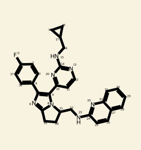 Fc1ccc(-c2nc3n(c2-c2ccnc(NCC4CC4)n2)C(CNc2ccc4ccccc4n2)CC3)cc1